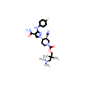 CN(C)CC(C)(C)COC(=O)N1CC[C@H](n2cc(C(N)=O)c(Nc3ccc(F)cc3)n2)[C@@H](C#N)C1